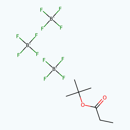 CCC(=O)OC(C)(C)C.F[B-](F)(F)F.F[B-](F)(F)F.F[B-](F)(F)F